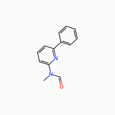 CN(C=O)c1cccc(-c2ccccc2)n1